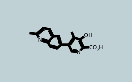 Cc1ccc2cc(-c3cnc(C(=O)O)c(O)c3C)ccc2n1